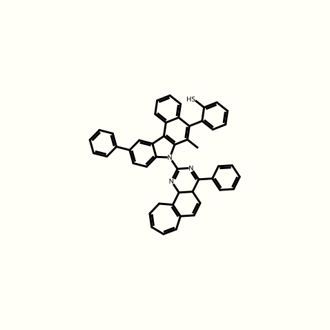 Cc1c(-c2ccccc2S)c2ccccc2c2c3cc(-c4ccccc4)ccc3n(C3=NC4C5=C(C=CC=CC5)C=CC4C(c4ccccc4)=N3)c12